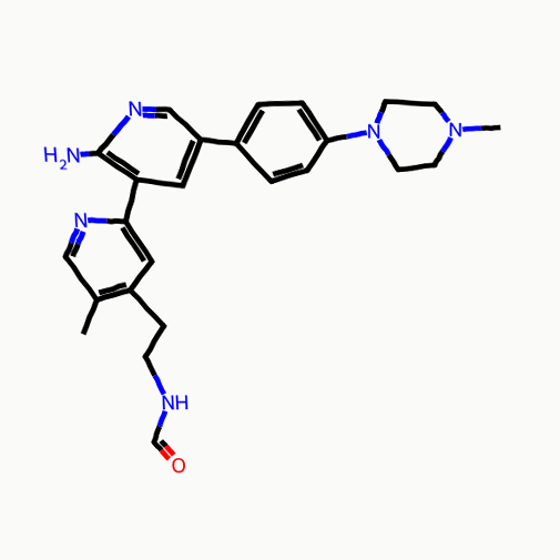 Cc1cnc(-c2cc(-c3ccc(N4CCN(C)CC4)cc3)cnc2N)cc1CCNC=O